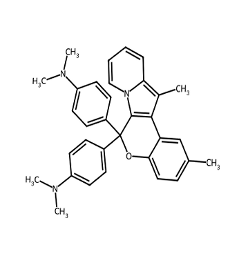 Cc1ccc2c(c1)-c1c(C)c3ccccn3c1C(c1ccc(N(C)C)cc1)(c1ccc(N(C)C)cc1)O2